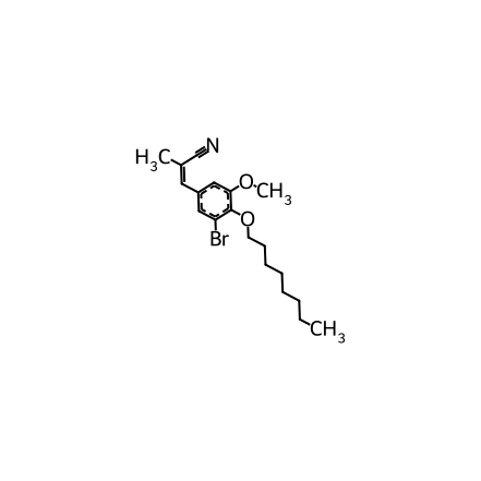 CCCCCCCCOc1c(Br)cc(/C=C(/C)C#N)cc1OC